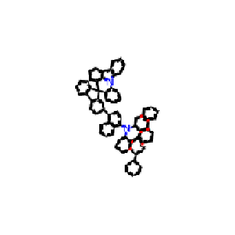 c1ccc(-c2ccc(-c3ccccc3N(c3ccccc3-c3cccc(-c4ccccc4)c3)c3ccc(-c4ccc5c(c4)C4(c6ccccc6-5)c5ccccc5-n5c6ccccc6c6cccc4c65)c4ccccc34)cc2)cc1